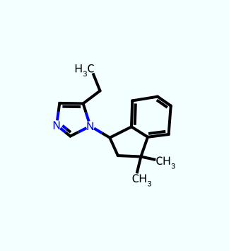 CCc1cncn1C1CC(C)(C)c2ccccc21